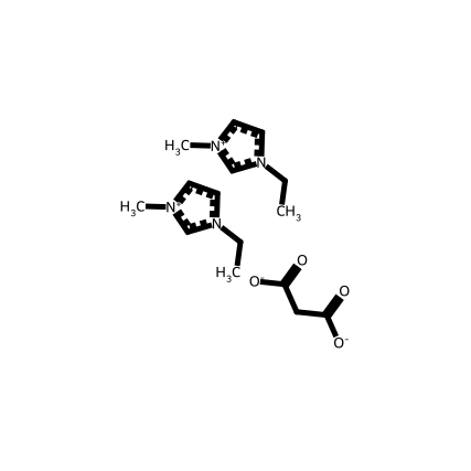 CCn1cc[n+](C)c1.CCn1cc[n+](C)c1.O=C([O-])CC(=O)[O-]